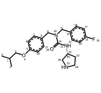 CC(C)COc1ccc(CN(Cc2ccc(F)cc2)C(=O)N[C@@H]2CCNC2)cc1